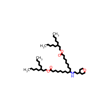 CCCCCC(CCCCC)CCOC(=O)CCCCCCCC(CCCCCCCC(=O)OCCC(CCCCC)CCCCC)NCCC1CCOCC1